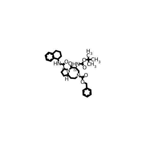 CC(C)(C)OC(=O)N[C@H]1CN(C(=O)OCc2ccccc2)CC[C@H]2CC[C@@H](C(=O)NC3CCCc4ccccc43)N2C1=O